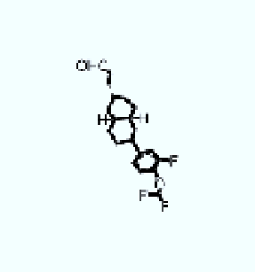 O=CCC[C@@H]1CC[C@@H]2CC(c3ccc(OC(F)F)c(F)c3)CC[C@@H]2C1